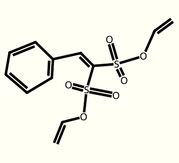 C=COS(=O)(=O)C(=Cc1ccccc1)S(=O)(=O)OC=C